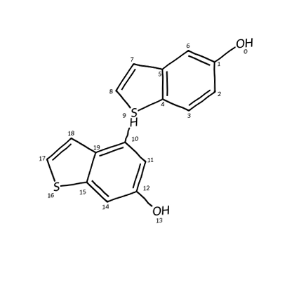 Oc1ccc2c(c1)C=C[SH]2c1cc(O)cc2sccc12